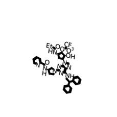 CCC(=O)N[C@H]1C[C@@H](n2cnc3c(NCC(c4ccccc4)c4ccccc4)nc(N4CC[C@@H](NC(=O)c5ccccn5)C4)nc32)[C@H](O)[C@@H]1OC(=O)C(F)(F)F